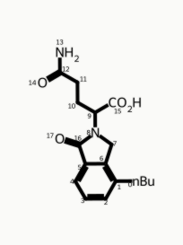 CCCCc1cccc2c1CN(C(CCC(N)=O)C(=O)O)C2=O